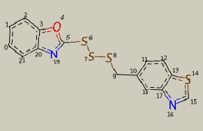 c1ccc2oc(SSSCc3ccc4scnc4c3)nc2c1